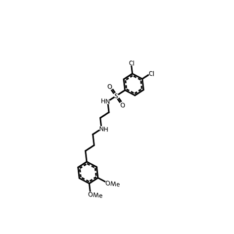 COc1ccc(CCCNCCNS(=O)(=O)c2ccc(Cl)c(Cl)c2)cc1OC